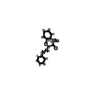 CC(C)(C)C(=O)C(N=Nc1ccccc1)Oc1ccccc1